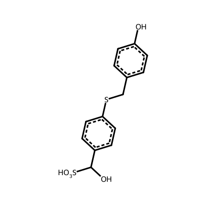 O=S(=O)(O)C(O)c1ccc(SCc2ccc(O)cc2)cc1